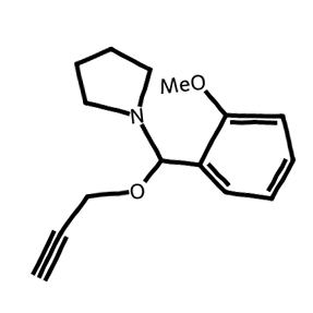 C#CCOC(c1ccccc1OC)N1CCCC1